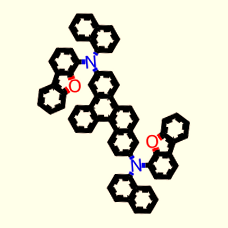 c1ccc2c(N(c3ccc4c(ccc5c6ccc(N(c7cccc8ccccc78)c7cccc8c7oc7ccccc78)cc6c6ccccc6c45)c3)c3cccc4c3oc3ccccc34)cccc2c1